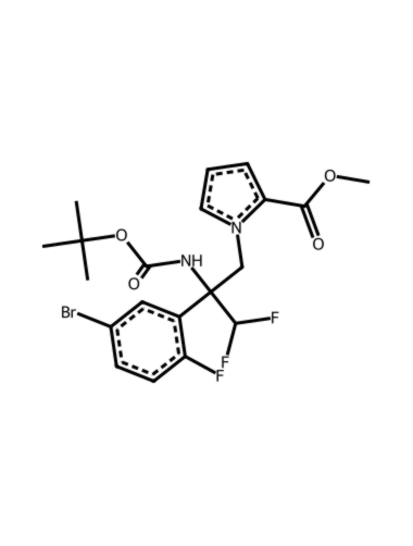 COC(=O)c1cccn1CC(NC(=O)OC(C)(C)C)(c1cc(Br)ccc1F)C(F)F